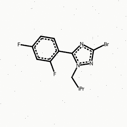 CC(C)Cn1nc(Br)nc1-c1ccc(F)cc1F